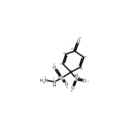 NNS(=O)(=O)C1([SH](=O)=O)C=CC(=O)C=C1